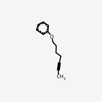 CC#CCCCCOc1cc[c]cc1